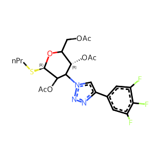 CCCS[C@H]1OC(COC(C)=O)[C@H](OC(C)=O)C(n2cc(-c3cc(F)c(F)c(F)c3)nn2)C1OC(C)=O